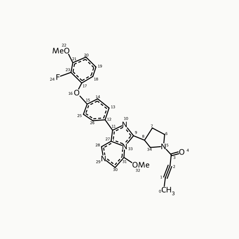 CC#CC(=O)N1CCC(c2nc(-c3ccc(Oc4cccc(OC)c4F)cc3)c3cncc(OC)n23)C1